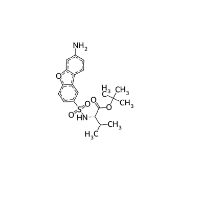 CC(C)[C@H](NS(=O)(=O)c1ccc2oc3cc(N)ccc3c2c1)C(=O)OC(C)(C)C